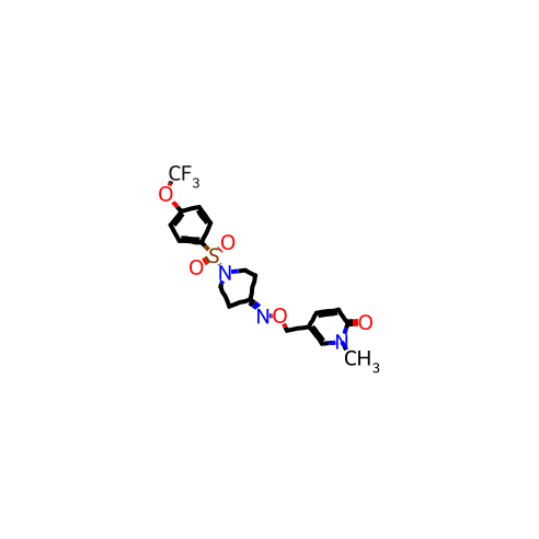 Cn1cc(CON=C2CCN(S(=O)(=O)c3ccc(OC(F)(F)F)cc3)CC2)ccc1=O